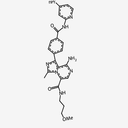 CCCc1ccnc(NC(=O)c2ccc(-c3nc(C)n4c(C(=O)NCCCOC)cnc(N)c34)cc2)c1